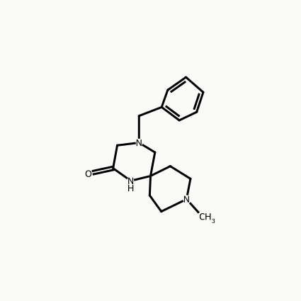 CN1CCC2(CC1)CN(Cc1ccccc1)CC(=O)N2